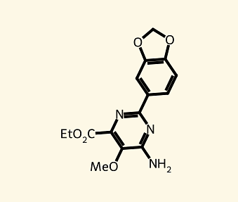 CCOC(=O)c1nc(-c2ccc3c(c2)OCO3)nc(N)c1OC